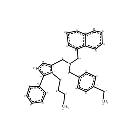 CCCCn1c(CN(Cc2ccc(CC)cc2)Cc2cccc3ccccc23)cnc1-c1ccccc1